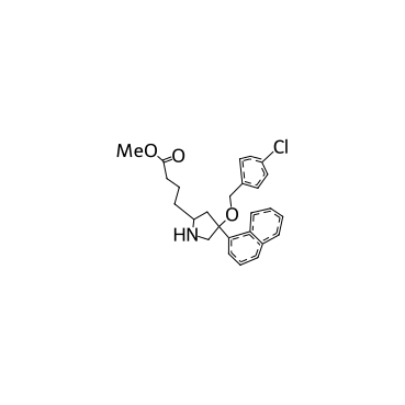 COC(=O)CCCC1CC(OCc2ccc(Cl)cc2)(c2cccc3ccccc23)CN1